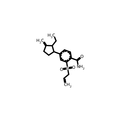 C=CCS(=O)(=O)c1cc(C2CCC(=C)C2CC)ccc1C(N)=O